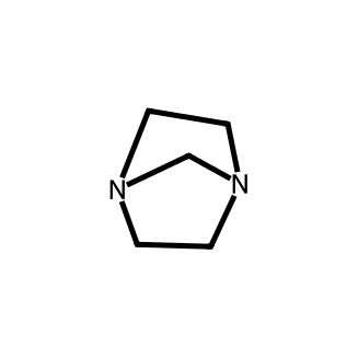 C1CN2CCN1C2